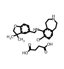 CC1(C)COc2ccc(CNc3c(Cl)ccc4c3CCNCC4)cc21.O=C(O)CCC(=O)O